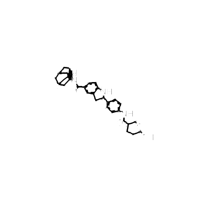 CC1CCC(C(=O)Nc2ccc(C3Cc4cc(C(=O)NC56CC7CC(CC(C7)C5)C6)ccc4N3)cc2)CC1